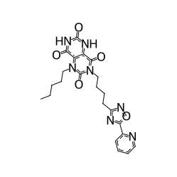 CCCCCn1c(=O)n(CCCCc2noc(-c3ccccn3)n2)c(=O)c2[nH]c(=O)[nH]c(=O)c21